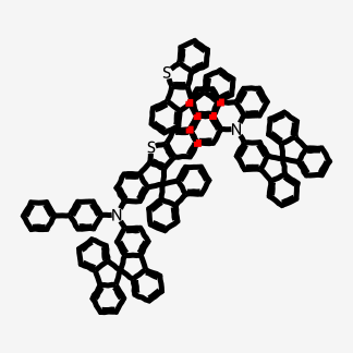 c1ccc(-c2ccc(N(c3ccc4c(c3)C3(c5ccccc5-c5ccccc53)c3ccccc3-4)c3ccc4c(c3)C3(c5ccccc5-c5ccccc53)c3c-4sc4cc(-c5cccc(-c6ccccc6N(c6ccc7c(c6)C6(c8ccccc8-c8ccccc86)c6ccccc6-7)c6cccc7c6-c6ccccc6C76c7ccccc7-c7sc8ccccc8c76)c5)ccc34)cc2)cc1